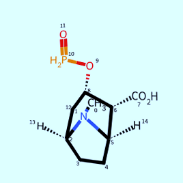 CN1[C@H]2CC[C@@H]1[C@@H](C(=O)O)[C@@H](O[PH2]=O)C2